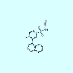 Cc1ccc(S(=O)(=O)NC#N)cc1-c1cccc2ccccc12